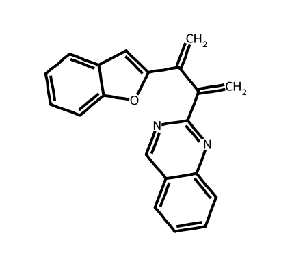 C=C(C(=C)c1cc2ccccc2o1)c1ncc2ccccc2n1